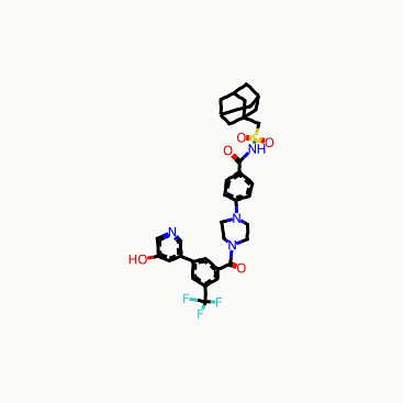 O=C(NS(=O)(=O)CC12CC3CC(CC(C3)C1)C2)c1ccc(N2CCN(C(=O)c3cc(-c4cncc(O)c4)cc(C(F)(F)F)c3)CC2)cc1